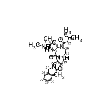 CN[C@@H](C)C(=O)N[C@H]1CN(C(=O)CC(C)C)CC[C@H]2CC[C@@H](CN(Cc3ccccc3)C(C)=O)N2C1=O